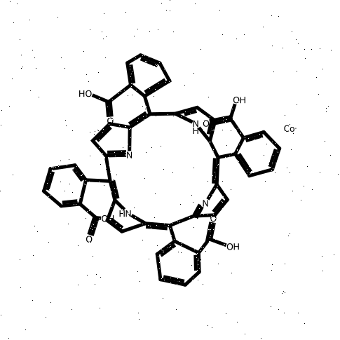 O=C(O)c1ccccc1-c1c2nc(c(-c3ccccc3C(=O)O)c3ccc([nH]3)c(-c3ccccc3C(=O)O)c3nc(c(-c4ccccc4C(=O)O)c4ccc1[nH]4)C=C3)C=C2.[Co]